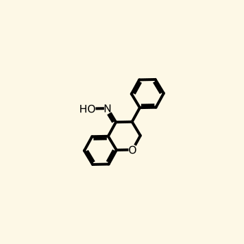 ON=C1c2ccccc2OCC1c1ccccc1